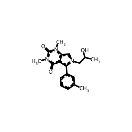 Cc1cccc(-c2c3c(=O)n(C)c(=O)n(C)c3cn2CC(C)O)c1